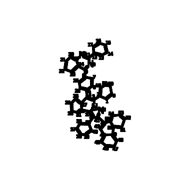 C1=CC(c2c(-c3ccc(-c4nc(-c5ccccc5)nc5ccccc45)cc3)c3ccccc3c3c(-c4ccccc4)c(-c4cc5ccccc5c5ccccc45)nn23)=CCC1